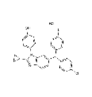 Cl.Oc1ccc(-n2c(C3CC3)nc3ccc(C(c4ccc(Cl)cc4)c4ccc(Cl)cc4)cc32)cc1